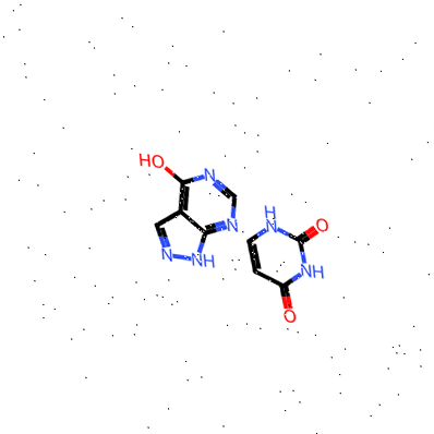 O=c1cc[nH]c(=O)[nH]1.Oc1ncnc2[nH]ncc12